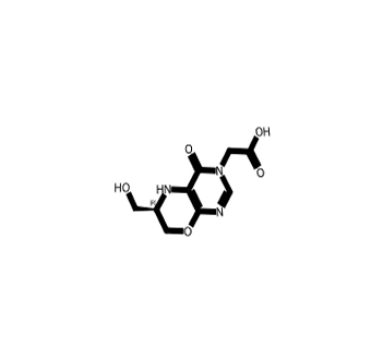 O=C(O)Cn1cnc2c(c1=O)N[C@H](CO)CO2